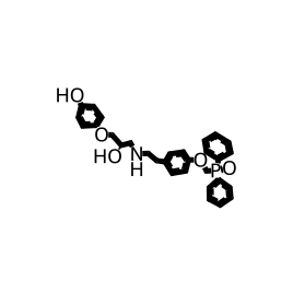 O=P(COc1ccc(CCNC[C@H](O)COc2ccc(O)cc2)cc1)(c1ccccc1)c1ccccc1